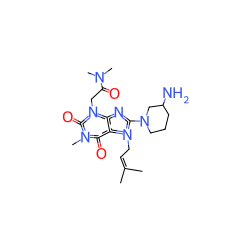 CC(C)=CCn1c(N2CCCC(N)C2)nc2c1c(=O)n(C)c(=O)n2CC(=O)N(C)C